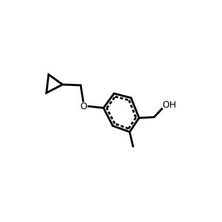 Cc1cc(OCC2CC2)ccc1CO